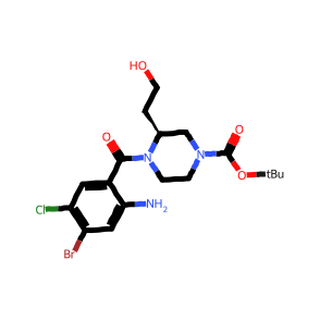 CC(C)(C)OC(=O)N1CCN(C(=O)c2cc(Cl)c(Br)cc2N)[C@@H](CCO)C1